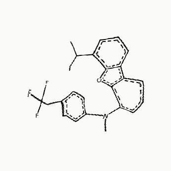 CC(C)c1cccc2c1oc1c(N(C)c3ccc(C(F)(F)F)cc3)cccc12